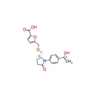 C[C@H](O)c1ccc(N2C(=O)CC[C@@H]2COCc2ccc(C(=O)O)o2)cc1